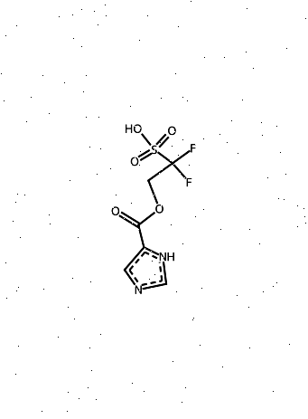 O=C(OCC(F)(F)S(=O)(=O)O)c1cnc[nH]1